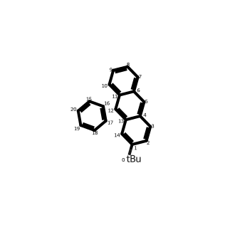 CC(C)(C)c1ccc2cc3ccccc3cc2c1.c1ccccc1